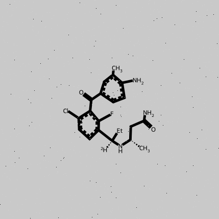 [2H][C@](CC)(N[C@@H](C)CC(N)=O)c1ccc(Cl)c(C(=O)c2ccc(N)c(C)c2)c1F